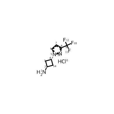 Cl.N[C@H]1C[C@H](n2ccc(C(F)(F)F)n2)C1